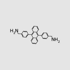 NCc1ccc(-c2c3ccccc3c(-c3ccc(CN)cc3)c3ccccc23)cc1